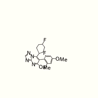 COc1cc(F)c(-c2c(OC)nc3ncnn3c2C2CCC(F)CC2)c(F)c1